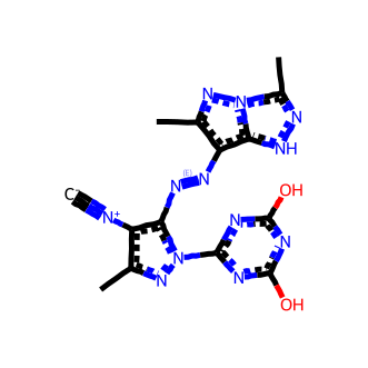 [C-]#[N+]c1c(C)nn(-c2nc(O)nc(O)n2)c1/N=N/c1c(C)nn2c(C)n[nH]c12